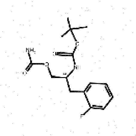 CC(C)(C)OC(=O)N[C@H](COC(N)=O)Cc1ccccc1F